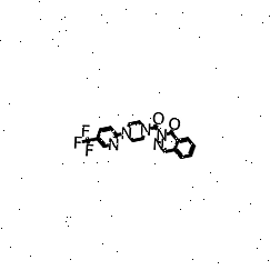 O=C(N1CCN(c2ccc(C(F)(F)F)cn2)CC1)n1ncc2ccccc2c1=O